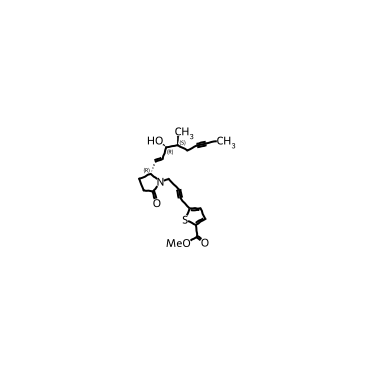 CC#CC[C@H](C)[C@@H](O)C=C[C@H]1CCC(=O)N1CC#Cc1ccc(C(=O)OC)s1